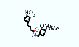 COc1ccc(CN(C)C(=O)CCCc2ccc([N+](=O)[O-])cc2)cc1OC